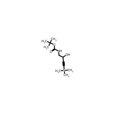 CC(C)(C)OC(=O)NCC(O)C#C[Si](C)(C)C